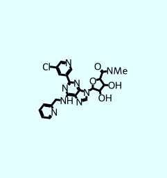 CNC(=O)C1OC(n2cnc3c(NCc4ccccn4)nc(-c4cncc(Cl)c4)nc32)C(O)C1O